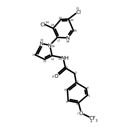 O=C(Cc1ccc(OC(F)(F)F)cc1)Nc1ccnn1-c1ncc(Cl)cc1Cl